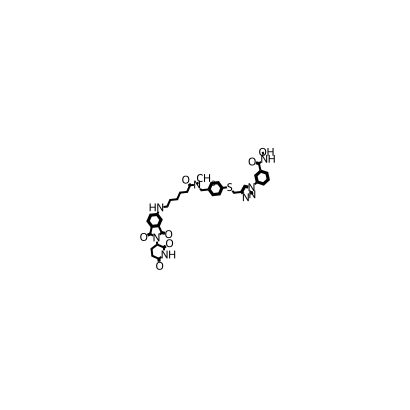 CN(Cc1ccc(SCc2cn(-c3cccc(C(=O)NO)c3)nn2)cc1)C(=O)CCCCCNc1ccc2c(c1)C(=O)N(C1CCC(=O)NC1=O)C2=O